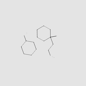 N#CCCC1(C=O)CCCCC1.O=CC1CCCCC1